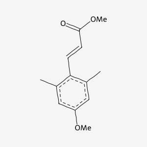 COC(=O)/C=C/c1c(C)cc(OC)cc1C